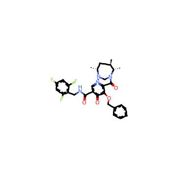 C[C@@H]1C[C@@H](C)N2CN(C(=O)c3c(OCc4ccccc4)c(=O)c(C(=O)NCc4c(F)cc(F)cc4F)cn32)[C@H]1C